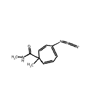 CNC(=O)C1(C)C=CC=C(N=[N+]=[N-])C=C1